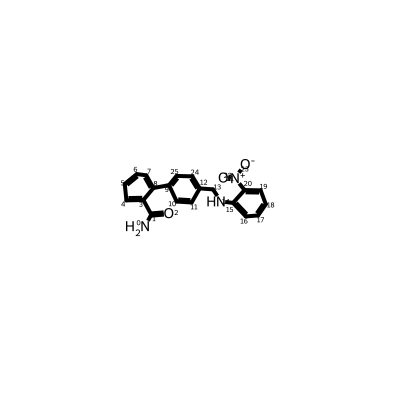 NC(=O)c1ccccc1-c1ccc(CNc2ccccc2[N+](=O)[O-])cc1